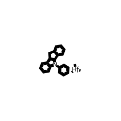 [CH3][Hf]([CH3])[CH3].c1ccc(-n2c3c(c4ccccc42)Cc2ccccc2-3)cc1